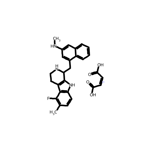 CNc1cc(CC2NCCc3c2[nH]c2ccc(C)c(F)c32)c2ccccc2c1.O=C(O)/C=C\C(=O)O